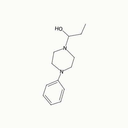 CCC(O)N1CCN(c2ccccc2)CC1